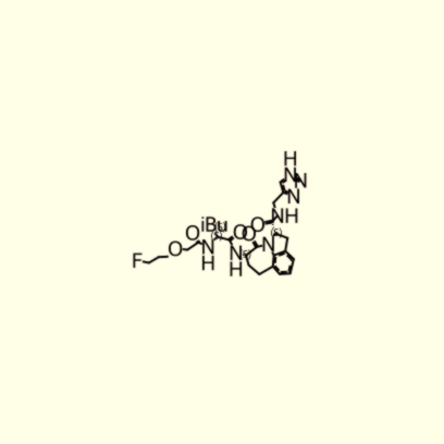 CC[C@H](C)[C@H](NC(=O)COCCCF)C(=O)N[C@H]1CCc2cccc3c2N(C1=O)[C@H](C(=O)NCc1c[nH]nn1)C3